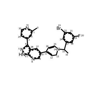 Cc1cc(-c2n[nH]c3ncc(C4=CCN(C(C)c5cc(F)cc(Br)c5)C=C4)cc23)ccn1